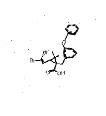 CC1(C)C(C=C(Br)Br)[C@@]1(Cc1cccc(Oc2ccccc2)c1)C(=O)O